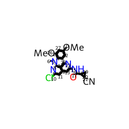 COc1ccc(N(C)c2nc(Cl)cc3cc(NC(=O)C4CC4C#N)ncc23)c(OC)c1